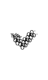 O=[As]([O-])([O-])[O-].O=[As]([O-])([O-])[O-].O=[As]([O-])([O-])[O-].O=[As]([O-])([O-])[O-].[Ti+4].[Ti+4].[Ti+4]